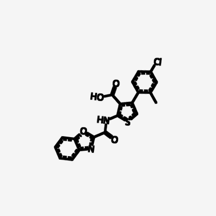 Cc1cc(Cl)ccc1-c1csc(NC(=O)c2nc3ccccc3o2)c1C(=O)O